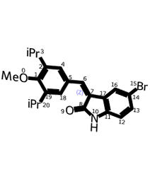 COc1c(C(C)C)cc(/C=C2\C(=O)Nc3ccc(Br)cc32)cc1C(C)C